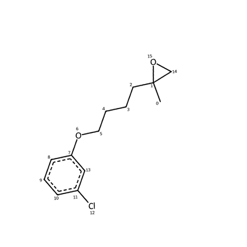 CC1(CCCCOc2cccc(Cl)c2)CO1